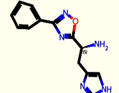 N[C@@H](Cc1c[nH]cn1)c1nc(-c2ccccc2)no1